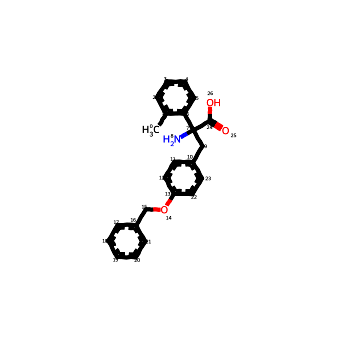 Cc1ccccc1C(N)(Cc1ccc(OCc2ccccc2)cc1)C(=O)O